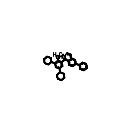 Cc1c(-c2c3ccc(-c4ccccc4)cc3cc[n+]2C)cc(C2CCCCC2)cc1C1CCCCC1